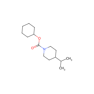 CC(C)C1CCN(C(=O)OC2CCCCC2)CC1